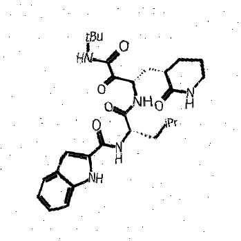 CC(C)C[C@H](NC(=O)c1cc2ccccc2[nH]1)C(=O)N[C@@H](C[C@@H]1CCCNC1=O)C(=O)C(=O)NC(C)(C)C